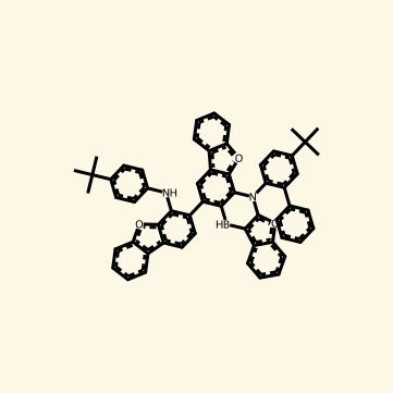 CC(C)(C)c1ccc(Nc2c(-c3cc4c(oc5ccccc54)c4c3Bc3c(oc5ccccc35)N4c3ccc(C(C)(C)C)cc3-c3ccccc3)ccc3c2oc2ccccc23)cc1